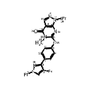 CC(C)n1cc(F)c(-c2ccc(Oc3nc4c(cnn4C(C)C)c(=O)n3C)cc2)n1